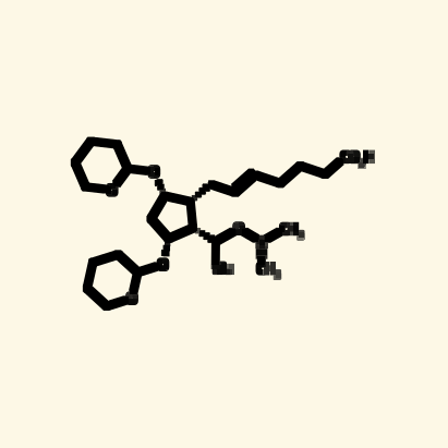 C[SiH](C)OC([C@H]1[C@@H](CC=CCCCC(=O)O)[C@@H](OC2CCCCO2)C[C@H]1OC1CCCCO1)C(C)(C)C